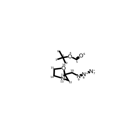 CC(C)(C)OC=O.[N-]=[N+]=NCC12CN1CCO2